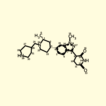 C[C@@H]1C[C@H](c2ccc3c(C4CCC(=O)NC4=O)nn(C)c3c2)CCN1CC1CCNCC1